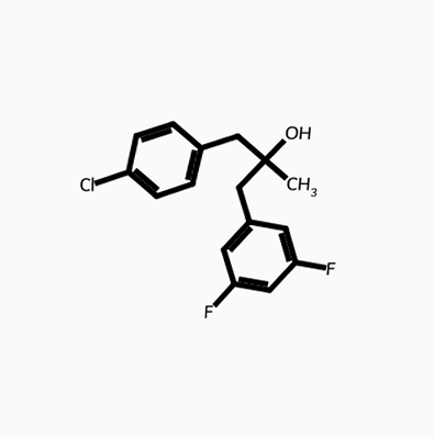 CC(O)(Cc1ccc(Cl)cc1)Cc1cc(F)cc(F)c1